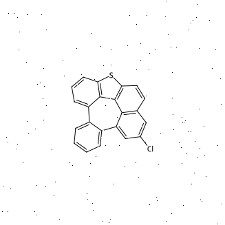 Clc1cc2c3c(ccc4sc5cccc(c5c43)-c3ccccc3-2)c1